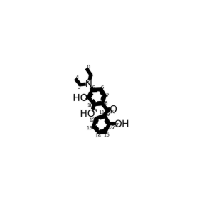 CCN(CC)c1ccc(C(=O)c2ccccc2O)c(O)c1O